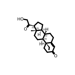 CC[C@]12CCC(=O)C=C1CC[C@@H]1[C@@H]2CC[C@]2(C)[C@@H](C(=O)CO)CC[C@@H]12